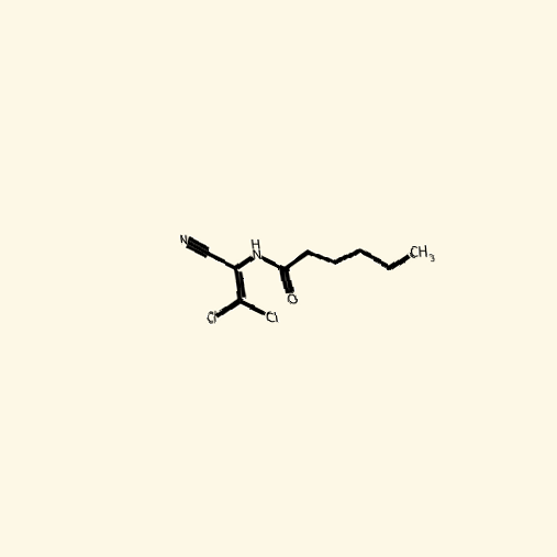 CCCCCC(=O)NC(C#N)=C(Cl)Cl